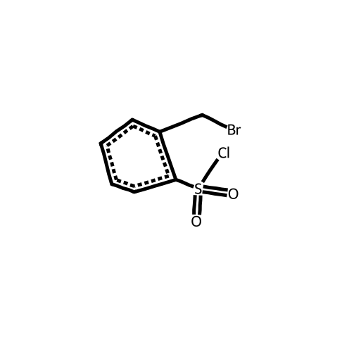 O=S(=O)(Cl)c1ccccc1CBr